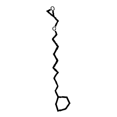 C(CCCCCC1CCCCC1)CCCCOCC1CO1